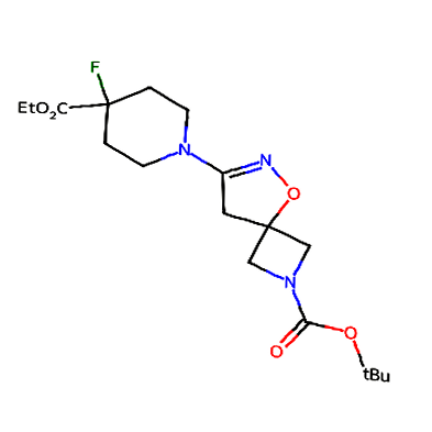 CCOC(=O)C1(F)CCN(C2=NOC3(C2)CN(C(=O)OC(C)(C)C)C3)CC1